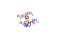 COc1ccc(Oc2sc(C(N)=O)c3c2-c2c(cnn2C)CC3)cc1OC